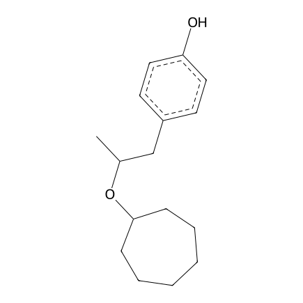 CC(Cc1ccc(O)cc1)OC1CCCCCC1